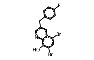 Oc1c(Br)cc(Br)c2cc(Cc3ccc(F)cc3)cnc12